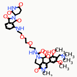 COc1cc(-c2cn(C)c(=O)c3c2C(C(=O)O)N(C(=O)NCCOCCOCCNc2cccc4c2C(=O)N(C2CCC(=O)NC2=O)C4=O)CC3)cc(OC)c1CN(C)C